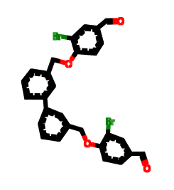 O=Cc1ccc(OCc2cccc(-c3cccc(COc4ccc(C=O)cc4Br)c3)c2)c(Br)c1